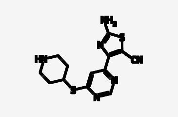 N#Cc1sc(N)nc1-c1cc(SC2CCNCC2)ncn1